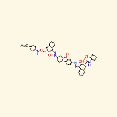 COc1ccc(NOCc2cc3ccccc3c(N=Nc3ccc4c(c3)C(=O)c3cc(N=Nc5c(O)c(C(=O)Nc6ccccc6Cl)cc6ccccc56)ccc3-4)c2O)cc1